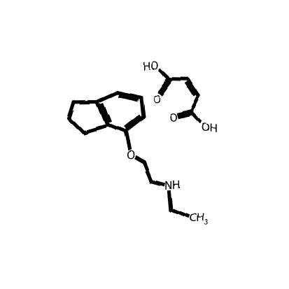 CCNCCOc1cccc2c1CCC2.O=C(O)/C=C\C(=O)O